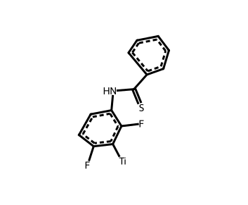 Fc1ccc(NC(=S)c2ccccc2)c(F)[c]1[Ti]